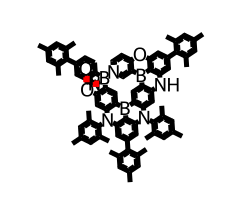 Cc1cc(C)c(-c2cc3c4c(c2)Oc2ccncc2B4c2cc4c(cc2N3)N(c2c(C)cc(C)cc2C)c2cc(-c3c(C)cc(C)cc3C)cc3c2B4c2cc4c(cc2N3c2c(C)cc(C)cc2C)Oc2cc(-c3c(C)cc(C)cc3C)cc3c2B4c2cnccc2O3)c(C)c1